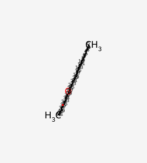 CCCCCCCCCCCCCCCCCCCCCCCCCCC[CH]OCCCCCCCCCCCCCC